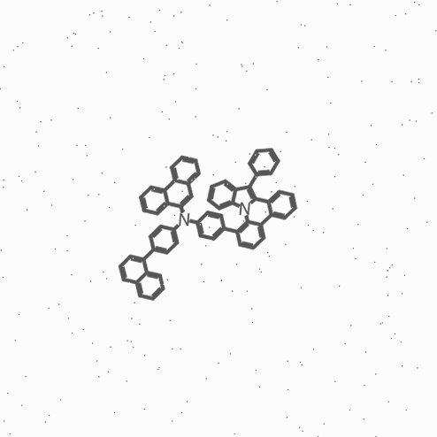 c1ccc(-c2c3ccccc3n3c4c(-c5ccc(N(c6ccc(-c7cccc8ccccc78)cc6)c6cc7ccccc7c7ccccc67)cc5)cccc4c4ccccc4c23)cc1